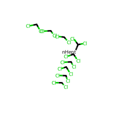 CCCCCCCC(Cl)Cl.ClCCl.ClCCl.ClCCl.ClCCl.ClCCl.ClCCl.ClCCl.ClCCl